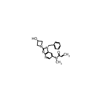 C=CC(=O)N(C)c1cnc2nc(N3CC(O)C3)n(Cc3ccccc3)c2c1